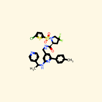 Cc1ccc(-c2cc(CNC(=O)[C@@H]3CC(F)(F)CN3S(=O)(=O)c3ccc(Cl)s3)cc(NC(C)c3ccncc3)n2)cc1